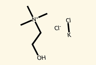 C[N+](C)(C)CCO.[Cl-].[Cl][K]